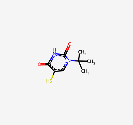 CC(C)(C)n1cc(S)c(=O)[nH]c1=O